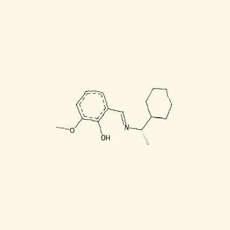 COc1cccc(C=N[C@@H](C)C2CCCCC2)c1O